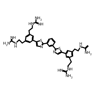 C=C(N)NCCc1cc(CCNC(=N)N)cc(-c2cnc(-c3cccc(-c4ncc(-c5cc(CCNC(=N)N)cc(CCNC(=N)N)c5)s4)c3)s2)c1